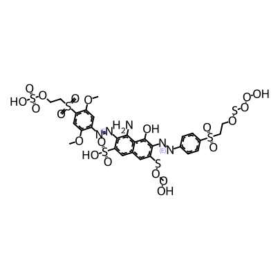 COc1cc(S(=O)(=O)CCOS(=O)(=O)O)c(OC)cc1/N=N/c1c(S(=O)(=O)O)cc2cc(SOOO)c(/N=N/c3ccc(S(=O)(=O)CCOSOOO)cc3)c(O)c2c1N